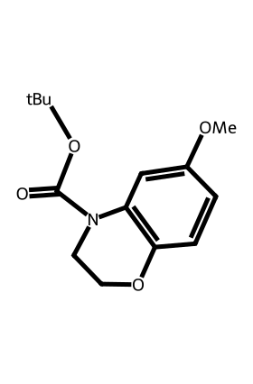 COc1ccc2c(c1)N(C(=O)OC(C)(C)C)CCO2